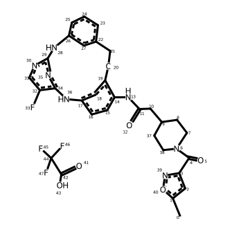 Cc1cc(C(=O)N2CCC(CC(=O)Nc3ccc4cc3CCc3cccc(c3)Nc3ncc(F)c(n3)N4)CC2)no1.O=C(O)C(F)(F)F